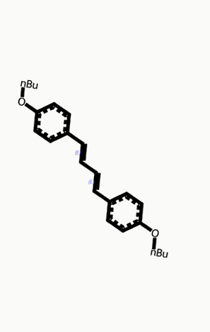 CCCCOc1ccc(/C=C/C=C/c2ccc(OCCCC)cc2)cc1